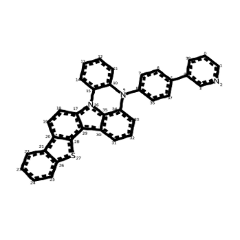 c1cncc(-c2ccc(N3c4ccccc4-n4c5ccc6c7ccccc7sc6c5c5cccc3c54)cc2)c1